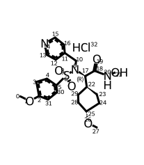 COc1ccc(S(=O)(=O)N(Cc2ccncc2)[C@@H](C(=O)NO)[C@H]2CC[C@H](OC)CC2)cc1.Cl